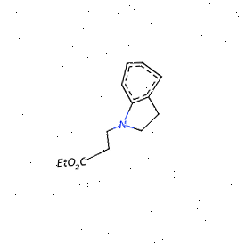 CCOC(=O)CCN1CCc2ccccc21